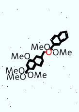 COc1cc(C(OC)(OC)OC)cc2ccc(COC(OC)(OC)c3ccc4ccccc4c3)cc12